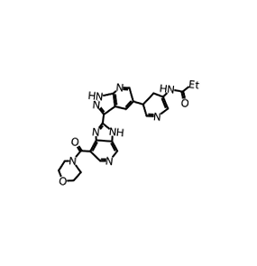 CCC(=O)NC1=CN=CC(c2cnc3[nH]nc(-c4nc5c(C(=O)N6CCOCC6)cncc5[nH]4)c3c2)C1